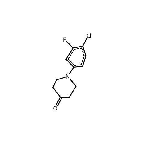 O=C1CCN(c2ccc(Cl)c(F)c2)CC1